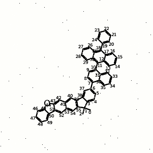 CC1(C)c2ccc(-c3ccc(-c4c5ccccc5c(-c5ccccc5)c5ccccc45)c4ccccc34)cc2-c2cc3cc4oc5ccccc5c4cc3cc21